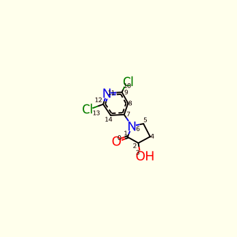 O=C1C(O)CCN1c1cc(Cl)nc(Cl)c1